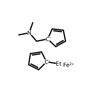 CC[c-]1cccc1.CN(C)C[c-]1cccc1.[Fe+2]